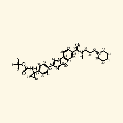 CC(C)(C)OC(=O)NC1(c2ccc(-c3cn4c(n3)sc3cc(C(=O)NCCCN5CCCCC5)ccc34)cc2)CC1